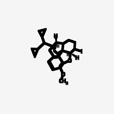 COc1ccc2c3c1O[C@@H]1C(I)CCC4[C@H](C2)N(C(C2CC2)C2CC2)CCC341